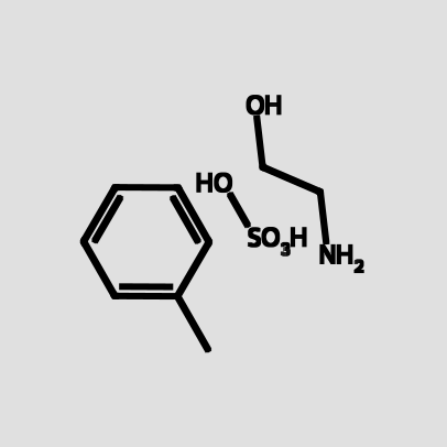 Cc1ccccc1.NCCO.O=S(=O)(O)O